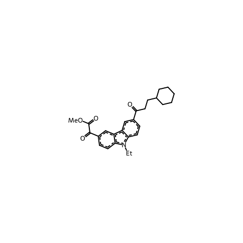 CCn1c2ccc(C(=O)CCC3CCCCC3)cc2c2cc(C(=O)C(=O)OC)ccc21